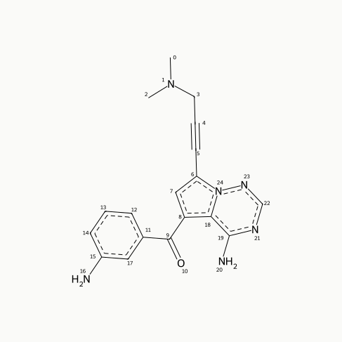 CN(C)CC#Cc1cc(C(=O)c2cccc(N)c2)c2c(N)ncnn12